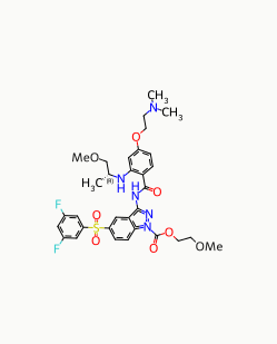 COCCOC(=O)n1nc(NC(=O)c2ccc(OCCN(C)C)cc2N[C@H](C)COC)c2cc(S(=O)(=O)c3cc(F)cc(F)c3)ccc21